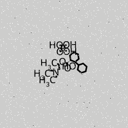 CCN(CC)CC(C)OC(=O)[C@@H]1CCCC[C@@]1(O)C1CCCCC1.O=P(O)(O)O